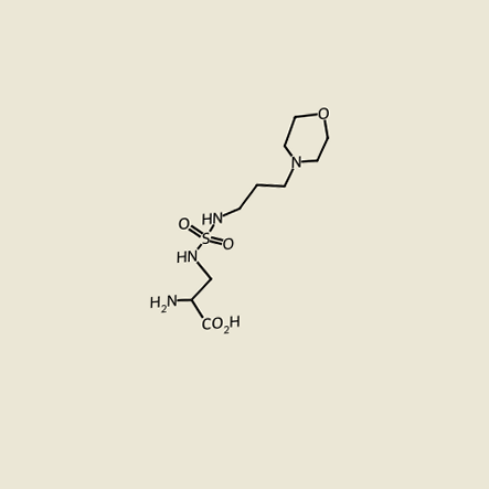 NC(CNS(=O)(=O)NCCCN1CCOCC1)C(=O)O